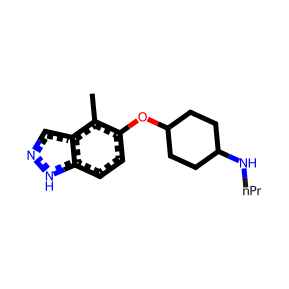 CCCNC1CCC(Oc2ccc3[nH]ncc3c2C)CC1